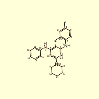 Cc1ccc(Nc2cc(Nc3ccccc3)nc(N3CCCCC3)n2)c(C)c1